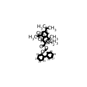 CC(C)c1cc(C(C)(C)C)c(C[C@H](N)C(=O)OP2Oc3ccccc3-c3ccccc32)c(C(C)(C)C)c1